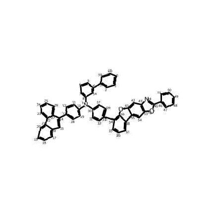 c1ccc(-c2cccc(N(c3ccc(-c4cc5ccccc5c5ccccc45)cc3)c3ccc(-c4cccc5c4oc4cc6nc(-c7ccccc7)oc6cc45)cc3)c2)cc1